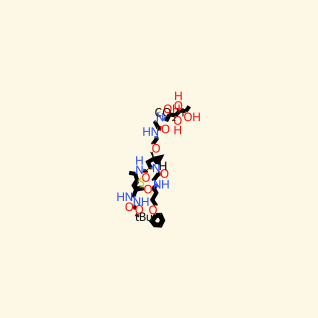 CC(NC(=O)[C@@H]1C[C@]2(COCCNC(=O)CN(CC(O)C(O)C(O)C(C)O)C(=O)O)C[C@@H]2N1C(=O)CNC(=O)CCCOc1ccccc1)c1cc(C(=N)NC(=O)OC(C)(C)C)cs1